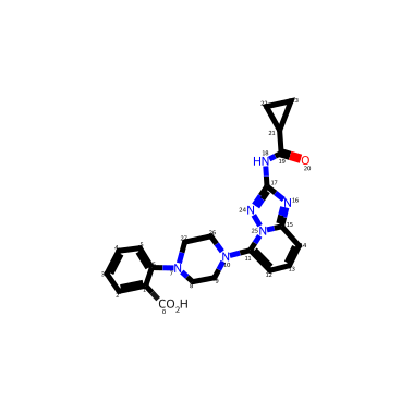 O=C(O)c1ccccc1N1CCN(c2cccc3nc(NC(=O)C4CC4)nn23)CC1